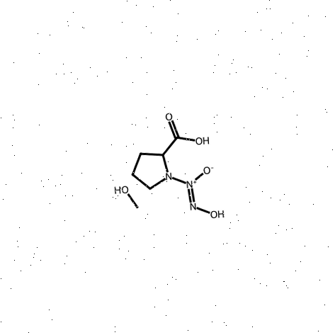 CO.O=C(O)C1CCCN1[N+]([O-])=NO